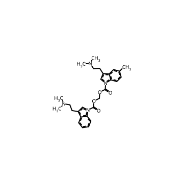 Cc1ccc2c(c1)c(CCN(C)C)cn2C(=O)OCOC(=O)n1cc(CCN(C)C)c2ccccc21